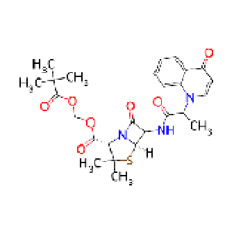 CC(C(=O)NC1C(=O)N2[C@@H]1SC(C)(C)[C@@H]2C(=O)OCOC(=O)C(C)(C)C)n1ccc(=O)c2ccccc21